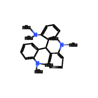 CCCCN(CCCC)c1ccccc1C(c1ccccc1N(CCCC)CCCC)c1ccccc1N(CCCC)CCCC